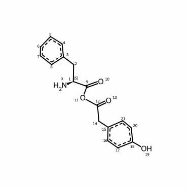 N[C@@H](Cc1ccccc1)C(=O)OC(=O)Cc1ccc(O)cc1